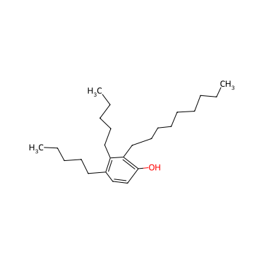 CCCCCCCCCc1c(O)ccc(CCCCC)c1CCCCC